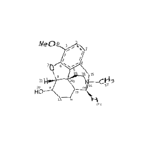 COc1ccc2c3c1O[C@H]1C(O)CCC4[C@@H](C2)N(C)CC[C@@]341